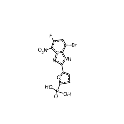 O=[N+]([O-])c1c(F)cc(Br)c2[nH]c(-c3ccc(P(=O)(O)O)o3)nc12